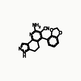 N#Cc1c(N)nc2c(c1-c1cccc3c1OCO3)CCc1[nH]ncc1-2